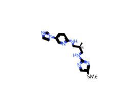 CSc1cnc(NC[C@H](C)CNc2ccc(-n3ccnc3)cn2)nc1